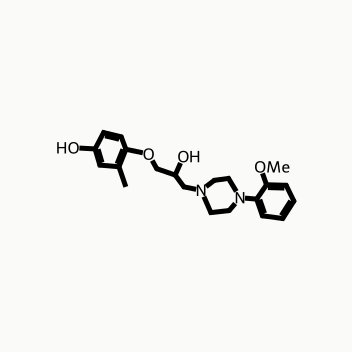 COc1ccccc1N1CCN(CC(O)COc2ccc(O)cc2C)CC1